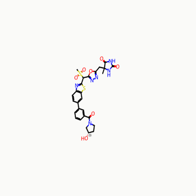 CC1(Cc2nnc(C(c3nc4ccc(-c5cccc(C(=O)N6CC[C@H](O)C6)c5)cc4s3)S(C)(=O)=O)o2)NC(=O)NC1=O